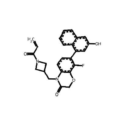 C=CC(=O)N1CC(CN2C(=O)COc3c2ccc(-c2cc(O)cc4ccccc24)c3F)C1